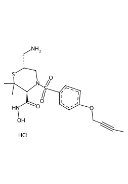 CC#CCOc1ccc(S(=O)(=O)N2C[C@@H](CN)SC(C)(C)[C@@H]2C(=O)NO)cc1.Cl